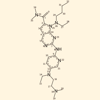 C=C(c1cc2cnc(Nc3ccc(N(CC)CCN(C)C)cn3)nc2n1N(CC)CCCC)N(C)C